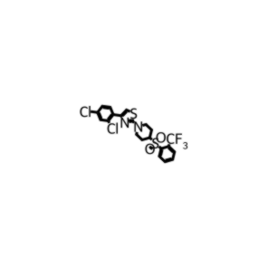 O=S(=O)(c1ccccc1C(F)(F)F)C1CCN(c2nc(-c3ccc(Cl)cc3Cl)cs2)CC1